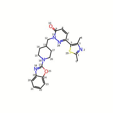 Cc1nc(C)c(-c2ccc(=O)n(CC3CCN(c4nc5ccccc5o4)CC3)n2)s1